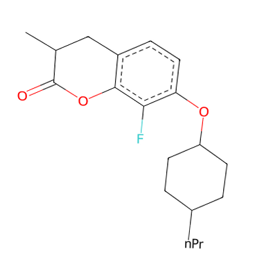 CCCC1CCC(Oc2ccc3c(c2F)OC(=O)C(C)C3)CC1